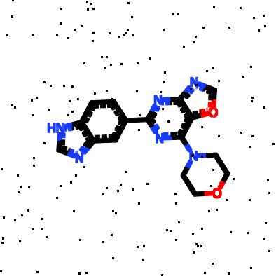 c1nc2cc(-c3nc(N4CCOCC4)c4ocnc4n3)ccc2[nH]1